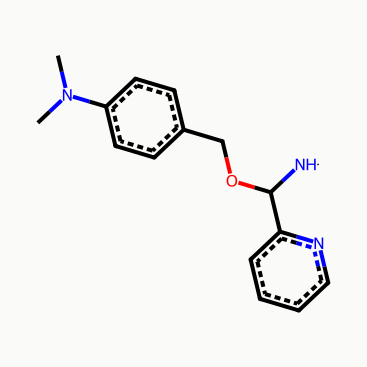 CN(C)c1ccc(COC([NH])c2ccccn2)cc1